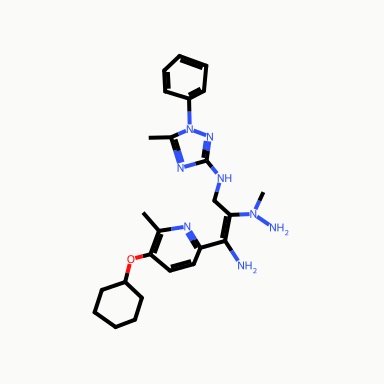 Cc1nc(/C(N)=C(\CNc2nc(C)n(-c3ccccc3)n2)N(C)N)ccc1OC1CCCCC1